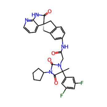 CC1(c2cc(F)cc(F)c2)C(=O)N(C2CCCC2)C(=O)N1CC(=O)Nc1ccc2c(c1)C[C@@]1(C2)C(=O)Nc2ncccc21